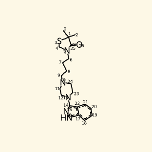 CC1(C)SCN(CCCCN2CCN(c3n[nH]c4ccccc34)CC2)C1=O